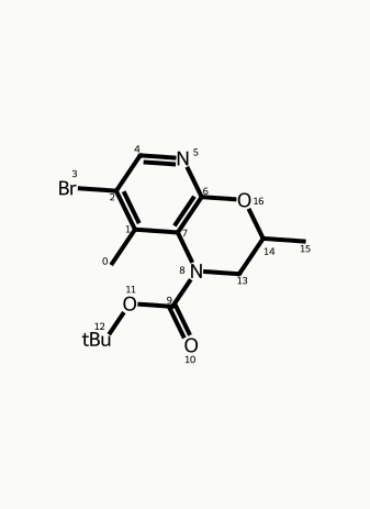 Cc1c(Br)cnc2c1N(C(=O)OC(C)(C)C)CC(C)O2